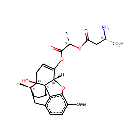 COc1ccc2c3c1O[C@H]1C(OC(=O)[C@H](C)OC(=O)C[C@H](N)C(=O)O)=CC[C@@]4(O)[C@H](CCC[C@]314)C2